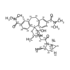 C[C@@H](CC1(C(=O)O)c2ccc(C(=O)N(C)C)cc2CCc2cc(C(=O)N(C)C)ccc21)NCC(=O)N1[C@H](C#N)C[C@@H]2C[C@@H]21